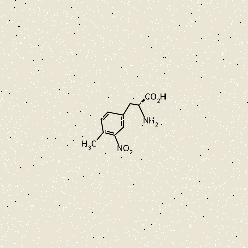 Cc1ccc(C[C@H](N)C(=O)O)cc1[N+](=O)[O-]